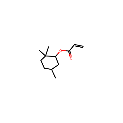 C=CC(=O)OC1CC(C)CCC1(C)C